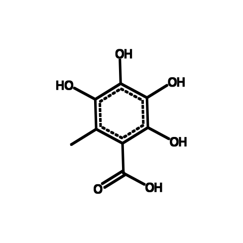 Cc1c(O)c(O)c(O)c(O)c1C(=O)O